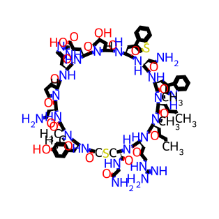 CCCC[C@H]1C(=O)N(C)[C@@H](CCCC)C(=O)N[C@@H](CCCNC(=N)N)C(=O)N[C@H](C(=O)NCC(N)=O)CSCC(=O)N[C@@H](Cc2ccc(O)cc2)C(=O)N(C)[C@@H](C)C(=O)N[C@@H](CC(N)=O)C(=O)N2CCC[C@H]2C(=O)N[C@@H](Cc2cnc[nH]2)C(=O)N[C@@H](CCC(=O)O)C(=O)N2C[C@H](O)C[C@H]2C(=O)N[C@@H](Cc2csc3ccccc23)C(=O)N[C@@H](CCN)C(=O)N[C@@H](Cc2c[nH]c3ccccc23)C(=O)N1C